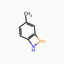 Cc1ccc2[nH][pH]c2c1